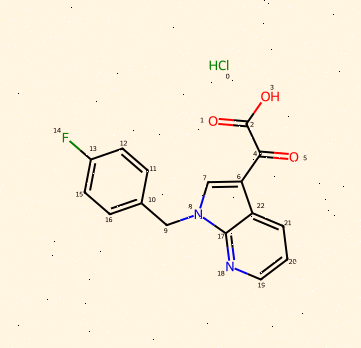 Cl.O=C(O)C(=O)c1cn(Cc2ccc(F)cc2)c2ncccc12